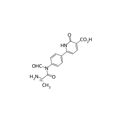 C[C@H](N)C(=O)N(C=O)c1ccc(-c2ccc(C(=O)O)c(=O)[nH]2)cc1